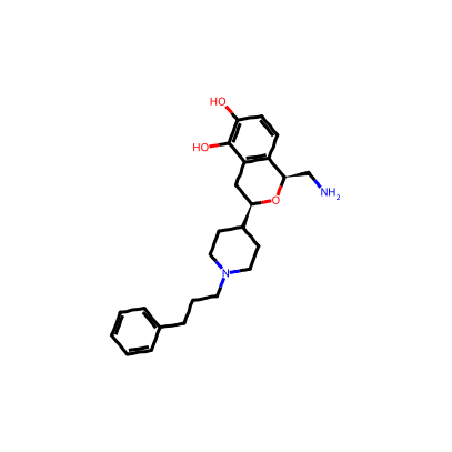 NC[C@H]1O[C@@H](C2CCN(CCCc3ccccc3)CC2)Cc2c1ccc(O)c2O